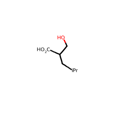 CC(C)CC(CO)C(=O)O